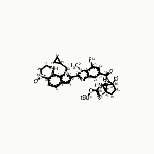 Cn1c(-c2cc3ccc4c(c3n2CC2CC2)NCC[S+]4[O-])nc2cc(C(=O)N3C[C@H]4CC[C@@H]3[C@@H]4NC(=O)OC(C)(C)C)cc(F)c21